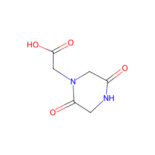 O=C(O)CN1CC(=O)NCC1=O